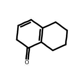 O=C1CC=CC2=C1CCCC2